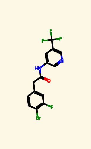 O=C(Cc1ccc(Br)c(F)c1)Nc1cncc(C(F)(F)F)c1